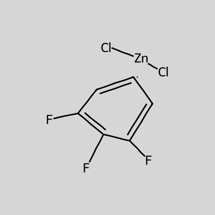 Fc1c[c]cc(F)c1F.[Cl][Zn][Cl]